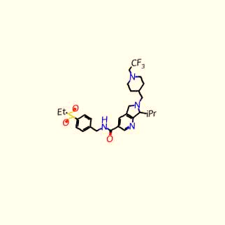 CCS(=O)(=O)c1ccc(CNC(=O)c2cnc3c(c2)CN(CC2CCN(CC(F)(F)F)CC2)C3C(C)C)cc1